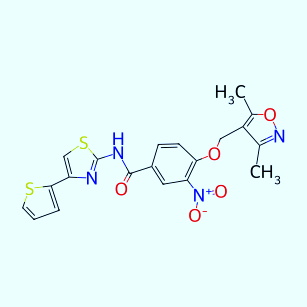 Cc1noc(C)c1COc1ccc(C(=O)Nc2nc(-c3cccs3)cs2)cc1[N+](=O)[O-]